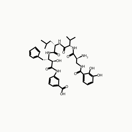 CC(C)C[C@H](NC(=O)[C@@H](NC(=O)[C@@H](N)CNC(=O)c1cccc(O)c1O)C(C)C)C(=O)N[C@@H](Cc1ccccc1)[C@@H](O)C(=O)Nc1cccc(C(=O)O)c1